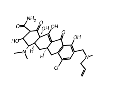 C=CCN(C)Cc1cc(Cl)c2c(c1O)C(=O)C1=C(O)[C@]3(O)C(=O)C(C(N)=O)C(O)[C@@H](N(C)C)[C@@H]3C[C@@H]1C2